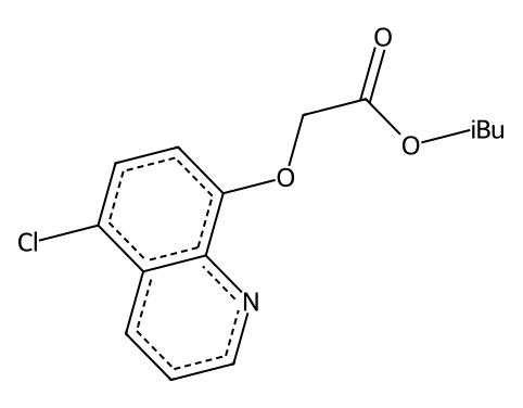 CCC(C)OC(=O)COc1ccc(Cl)c2cccnc12